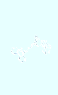 CN(CCCCN1Sc2ccccc2-c2ccccc21)CC(O)C12CC3CC(CC(C3)C1)C2